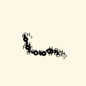 COc1ccc(COc2c(F)cc(C(=O)NCC3CCC(n4cc5ccc(N6CC[C@@H]7CN(C(=O)OC(C)(C)C)C[C@@H]7C6)cc5n4)CC3)c(F)c2F)cc1